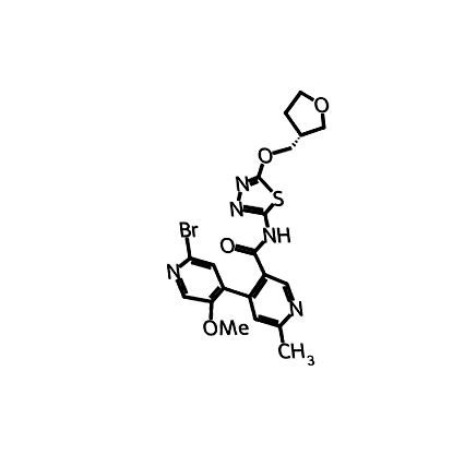 COc1cnc(Br)cc1-c1cc(C)ncc1C(=O)Nc1nnc(OC[C@@H]2CCOC2)s1